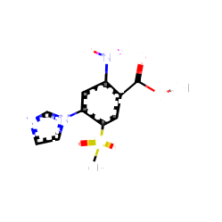 COC(=O)c1cc(S(C)(=O)=O)c(-n2ccnc2)cc1[N+](=O)[O-]